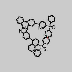 O=P(c1ccccc1)(c1ccccc1)c1ccc(-c2ccc3c4ccccc4c4nc5ccc(-c6ccc(P(=S)(c7ccccc7)c7ccccc7)c7ccccc67)cc5n4c3c2)nc1